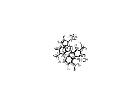 CC1=C(C)C(C)[C]([Ti][Si](c2ccc(C)c(N(C)C)c2C)(c2ccc(C)c(N(C)C)c2C)c2ccc(C)c(N(C)C)c2C)=C1C.Cl.Cl.Cl